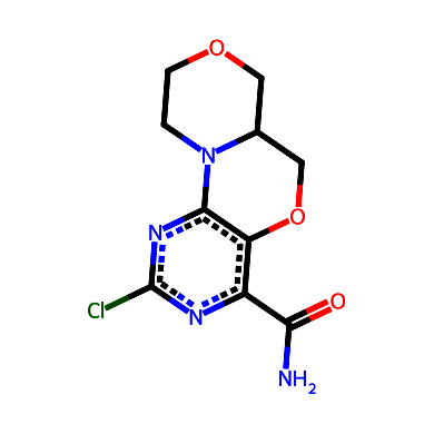 NC(=O)c1nc(Cl)nc2c1OCC1COCCN21